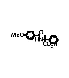 COc1ccc(C(=O)NC(C)(C(=O)O)c2ccccc2)cc1